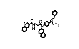 CN(CCc1ccccc1)c1ccc(N(C(=O)CCNC(=O)c2cnc3ccccc3c2)c2cnc3ccccc3c2)cc1